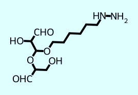 NNCCCCCCOC(OC(C=O)CO)C(O)C=O